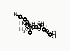 CC[C@H](c1ccccc1)N1Cc2cc3c(cc2C[C@H]1C(=O)NC(Cc1ccc(-c2ccc(C#N)cc2)cc1)C(=O)O)N(C)C(=O)[C@H](c1ccc(OCc2ccc(Cl)c(Cl)c2)cc1)O3